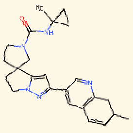 CC1C=Cc2cc(-c3cc4n(n3)CCC43CCN(C(=O)NC4(C#N)CC4)C3)cnc2C1